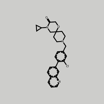 O=C1COC2(CCN(Cc3ccc(-c4ccc5cccnc5c4)c(Cl)c3)CC2)CN1C1CC1